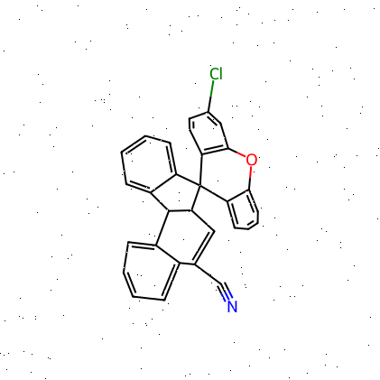 N#CC1=CC2C(c3ccccc31)c1ccccc1C21c2ccccc2Oc2cc(Cl)ccc21